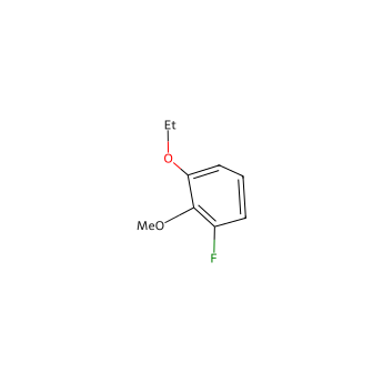 CCOc1cccc(F)c1OC